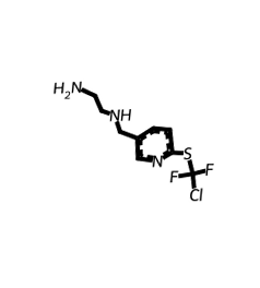 NCCNCc1ccc(SC(F)(F)Cl)nc1